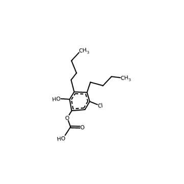 CCCCc1c(Cl)cc(OC(=O)O)c(O)c1CCCC